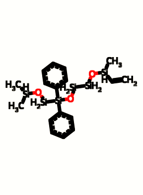 C=C[SiH](C)O[SiH2][SiH2]O[Si]([SiH2]O[SiH](C)C)(c1ccccc1)c1ccccc1